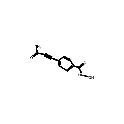 NC(=O)C#Cc1ccc(C(=O)NO)cc1